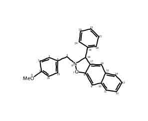 COc1ccc(CN2Oc3cc4ccccc4cc3C2c2ccccc2)cc1